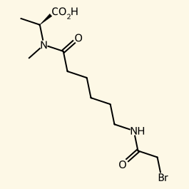 C[C@@H](C(=O)O)N(C)C(=O)CCCCCNC(=O)CBr